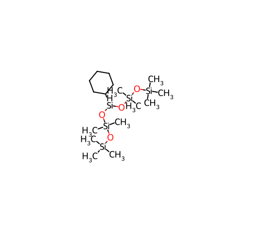 C[Si](C)(C)O[Si](C)(C)O[SiH](O[Si](C)(C)O[Si](C)(C)C)C1CCCCC1